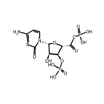 Nc1ccn([C@@H]2O[C@H](C(=O)OP(=O)(O)O)[C@@H](OP(=O)(O)O)[C@H]2O)c(=O)n1